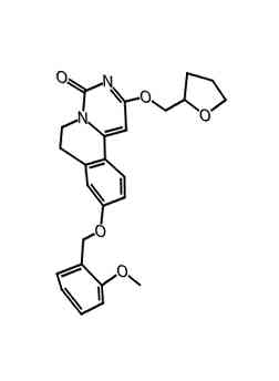 COc1ccccc1COc1ccc2c(c1)CCn1c-2cc(OCC2CCCO2)nc1=O